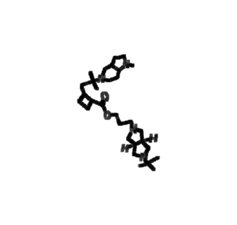 CN1CCC2CN(C(C)(C)CC3CCC3C(=O)OCCCN3C[C@@H]4CN(C(C)(C)C)C[C@@H]4C3)CCC21